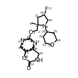 C[C@@]1(COc2ncc3c(n2)CNC(=O)O3)C[C@@H](F)CN1C1CCOCC1